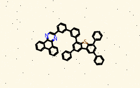 c1ccc(-c2cc(-c3ccccc3)c3sc4c(-c5cccc(-c6cccc(-c7cnc8c9ccccc9c9ccccc9c8n7)c6)c5)cc(-c5ccccc5)cc4c3c2)cc1